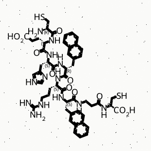 N=C(N)NCCC[C@H](NC(=O)[C@@H](Cc1ccc2ccccc2c1)NC(=O)[C@H](Cc1c[nH]cn1)NC(=O)[C@H](CCC(=O)O)NC(=O)[C@@H](N)CS)C(=O)N[C@@H](Cc1ccc2ccccc2c1)C(=O)NCCC(=O)N[C@@H](CS)C(=O)O